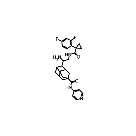 NC(CNC(=O)C1(c2ccc(F)cc2F)CC1)C1C2CC3CC1CC(C(=O)Nc1ccncc1)(C3)C2